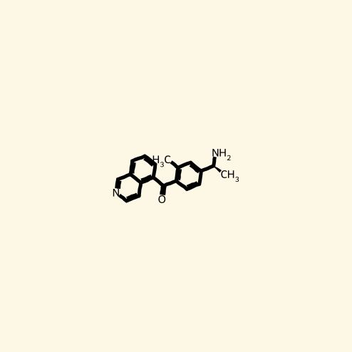 Cc1cc([C@H](C)N)ccc1C(=O)c1cccc2cnccc12